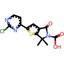 CC1(C)c2sc(-c3ccnc(Cl)n3)cc2C(=O)N1C(=O)O